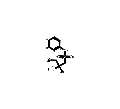 CC(Br)(CBr)CS(=O)(=O)Oc1ccccc1